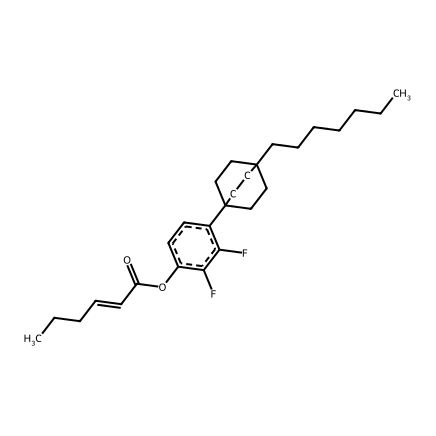 CCC/C=C/C(=O)Oc1ccc(C23CCC(CCCCCCC)(CC2)CC3)c(F)c1F